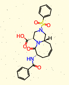 O=C(N[C@H]1CC=CC[C@H]2CN(S(=O)(=O)c3ccccc3)C[C@@H](C(=O)O)N2C1=O)c1ccccc1